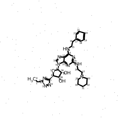 CCn1nnc([C@H]2O[C@@H](n3cnc4c(NCCc5ccccc5)nc(NCCN5CCCCC5)nc43)[C@H](O)[C@@H]2O)n1